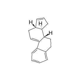 C1=C[C@H]2CC=C3c4ccccc4CC[C@H]3[C@@H]2C1